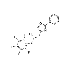 O=C(Cc1coc(-c2ccccc2)n1)Oc1c(F)c(F)c(F)c(F)c1F